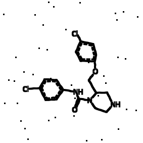 O=C(Nc1ccc(Cl)cc1)N1CCNCC1COc1ccc(Cl)cc1